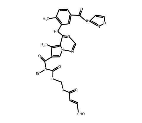 CCN(C(=O)OCOC(=O)/C=C/C=O)C(=O)c1cn2ncnc(Nc3cc(C(=O)Nc4ccon4)ccc3C)c2c1C